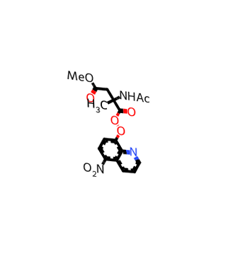 COC(=O)CC(C)(NC(C)=O)C(=O)OOc1ccc([N+](=O)[O-])c2cccnc12